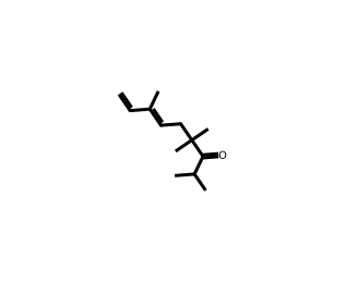 C=C/C(C)=C/CC(C)(C)C(=O)C(C)C